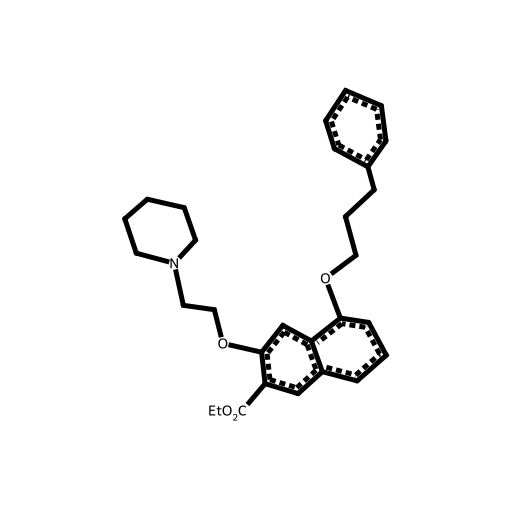 CCOC(=O)c1cc2cccc(OCCCc3ccccc3)c2cc1OCCN1CCCCC1